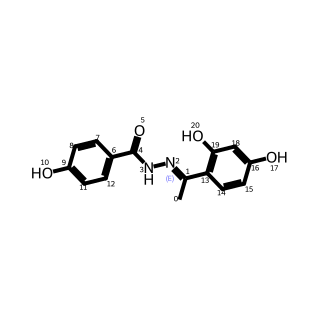 C/C(=N\NC(=O)c1ccc(O)cc1)c1ccc(O)cc1O